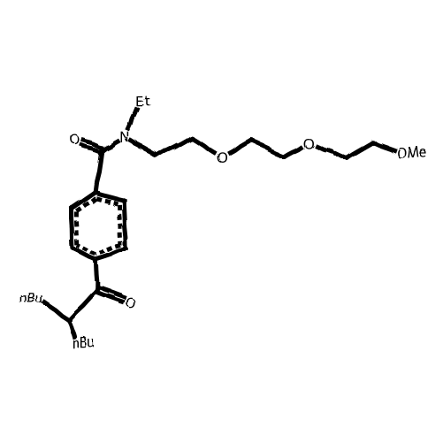 CCCCC(CCCC)C(=O)c1ccc(C(=O)N(CC)CCOCCOCCOC)cc1